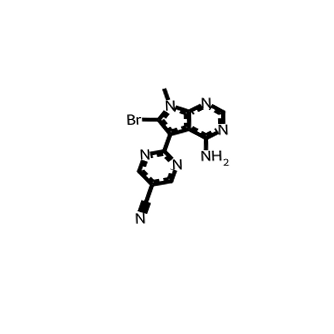 Cn1c(Br)c(-c2ncc(C#N)cn2)c2c(N)ncnc21